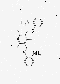 Cc1cc(C)c(CSc2ccccc2N)c(C)c1CSc1ccccc1N